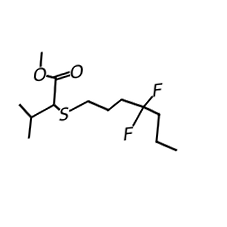 CCCC(F)(F)CCCSC(C(=O)OC)C(C)C